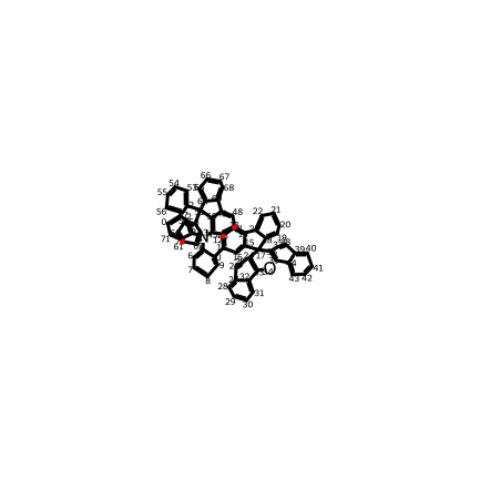 c1ccc(N(c2ccccc2-c2ccc3c(c2)C2(c4ccccc4-3)c3ccc4ccccc4c3Oc3c2ccc2ccccc32)c2cccc3c2C(c2ccccc2)(c2ccccc2)c2ccccc2-3)cc1